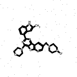 Cc1cc2c(-c3nc(N4CCOCC4)c4oc5ncc(CN6CC[S+]([O-])CC6)cc5c4n3)cccc2[nH]1